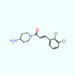 NC1CCN(C(=O)/C=C/c2cccc(Cl)c2Cl)CC1